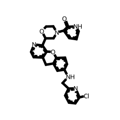 O=c1[nH]cccc1N1CCOC(c2nccc3c2Oc2ccc(NCc4cccc(Cl)n4)cc2C3)C1